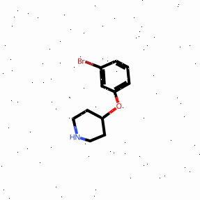 Brc1cccc(OC2CCNCC2)c1